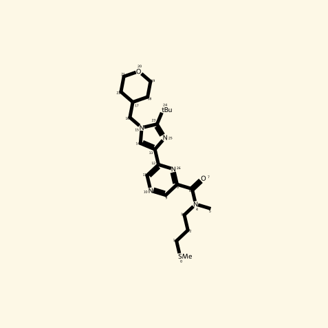 CSCCCN(C)C(=O)c1cncc(-c2cn(CC3CCOCC3)c(C(C)(C)C)n2)n1